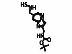 CC(C)(C)OC(=O)NCc1cn2ncc(CNS)cc2n1